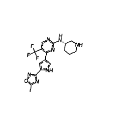 Cc1nc(-c2cc(-c3nc(N[C@H]4CCCNC4)ncc3C(F)(F)F)c[nH]2)no1